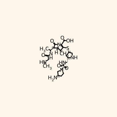 CNCC(=O)NC(C)[C@H]1C(=O)N2C(C(=O)O)=C(S[C@@H]3CN[C@H](CNS(=O)(=O)N4CC[C@H](N)C4)C3)[C@H](C)[C@H]12